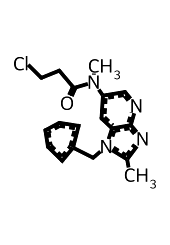 Cc1nc2ncc(N(C)C(=O)CCCl)cc2n1Cc1ccccc1